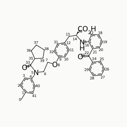 Cc1ccc(N(CCOc2ccc(C[C@H](Nc3ccccc3C(=O)c3ccccc3)C(=O)O)cc2)C(=O)C2CCCC2)cc1